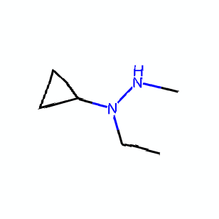 CCN(NC)C1CC1